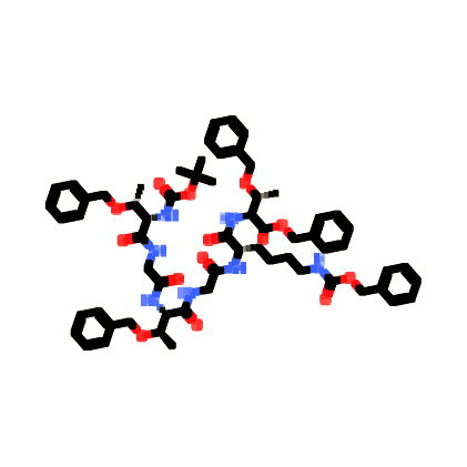 C[C@@H](OCc1ccccc1)[C@H](NC(=O)CNC(=O)[C@@H](NC(=O)OC(C)(C)C)[C@@H](C)OCc1ccccc1)C(=O)NCC(=O)N[C@@H](CCCCNC(=O)OCc1ccccc1)C(=O)N[C@H](C(=O)OCc1ccccc1)[C@@H](C)OCc1ccccc1